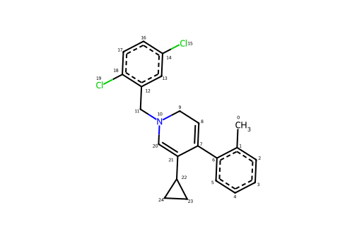 Cc1ccccc1C1=CCN(Cc2cc(Cl)ccc2Cl)C=C1C1CC1